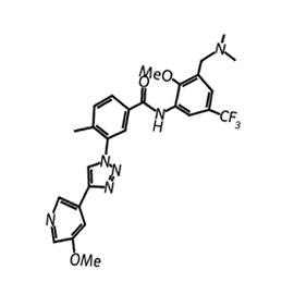 COc1cncc(-c2cn(-c3cc(C(=O)Nc4cc(C(F)(F)F)cc(CN(C)C)c4OC)ccc3C)nn2)c1